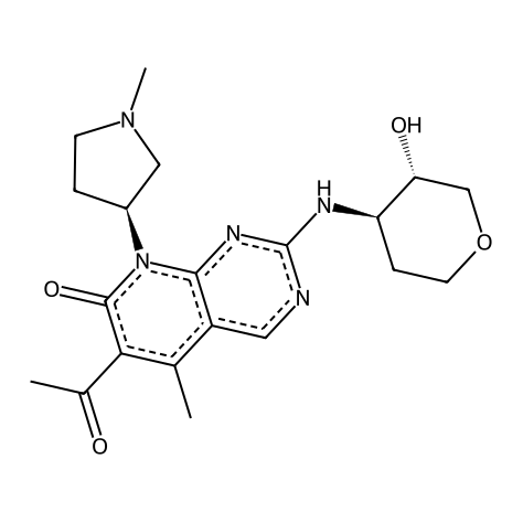 CC(=O)c1c(C)c2cnc(N[C@@H]3CCOC[C@H]3O)nc2n([C@H]2CCN(C)C2)c1=O